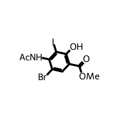 COC(=O)c1cc(Br)c(NC(C)=O)c(I)c1O